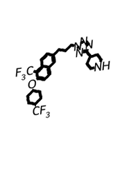 FC(F)(F)c1c(O[C@H]2CC[C@@H](C(F)(F)F)CC2)ccc2cc(CCCn3nnc(C4CCNCC4)n3)ccc12